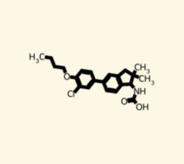 CCCCOc1ccc(-c2ccc3c(c2)CC(C)(C)C3NC(=O)O)cc1Cl